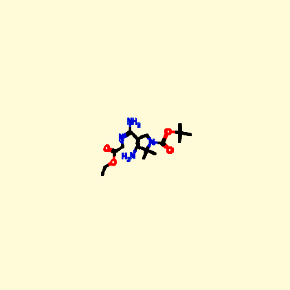 CCOC(=O)C/N=C(/N)C1=C(N)C(C)(C)N(C(=O)OC(C)(C)C)C1